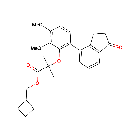 COc1ccc(-c2cccc3c2CCC3=O)c(OC(C)(C)C(=O)OCC2CCC2)c1OC